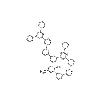 Cc1ccc(C)c(-c2cccc(-c3cccc(-c4cccc(-c5nc(-c6ccccc6)nc(-c6cccc(-c7cccc(-c8cccc(-c9cc(-c%10ccccc%10)cc(-c%10ccccc%10)n9)c8)c7)c6)n5)c4)c3)c2)c1